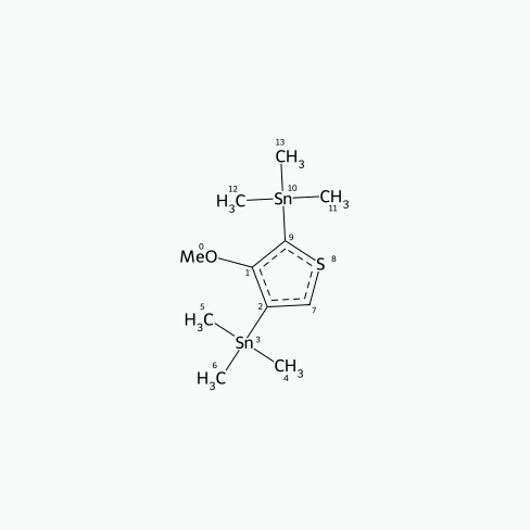 COc1[c]([Sn]([CH3])([CH3])[CH3])cs[c]1[Sn]([CH3])([CH3])[CH3]